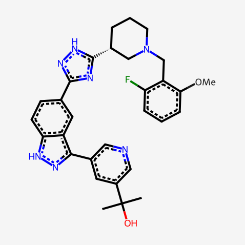 COc1cccc(F)c1CN1CCC[C@@H](c2nc(-c3ccc4[nH]nc(-c5cncc(C(C)(C)O)c5)c4c3)n[nH]2)C1